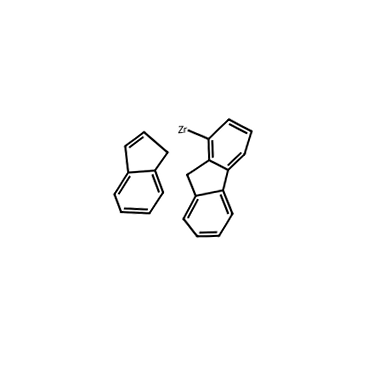 C1=Cc2ccccc2C1.[Zr][c]1cccc2c1Cc1ccccc1-2